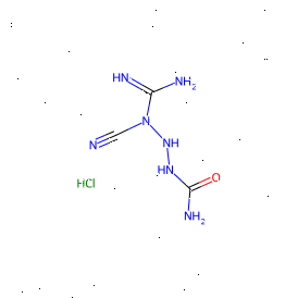 Cl.N#CN(NNC(N)=O)C(=N)N